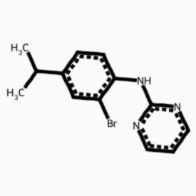 CC(C)c1ccc(Nc2ncccn2)c(Br)c1